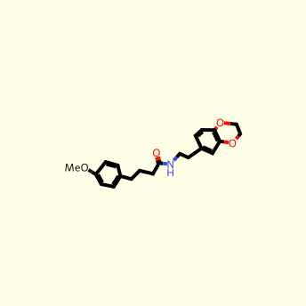 COc1ccc(CCCC(=O)NCCc2ccc3c(c2)OCCO3)cc1